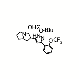 CC(C)(C)OC=O.FC(F)(F)Oc1ccccc1-c1cc(C2CC3CCCN3C2)[nH]n1